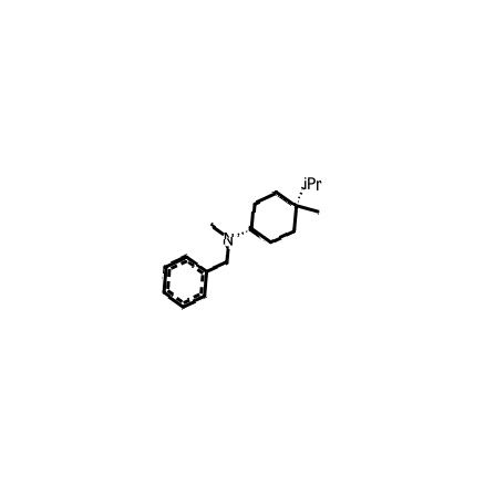 CC(C)[C@]1(C)CC[C@H](N(C)Cc2ccccc2)CC1